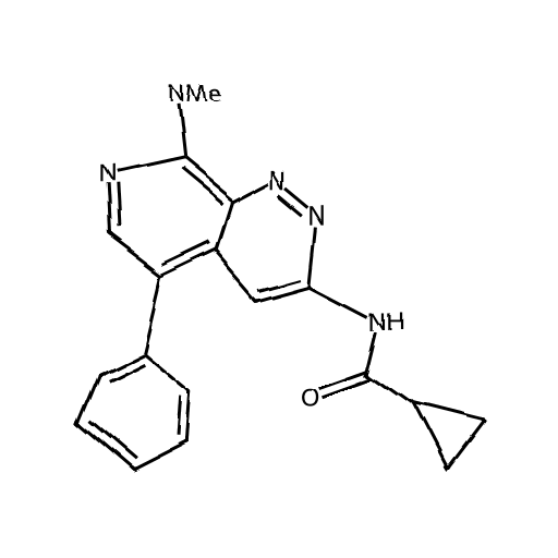 CNc1ncc(-c2ccccc2)c2cc(NC(=O)C3CC3)nnc12